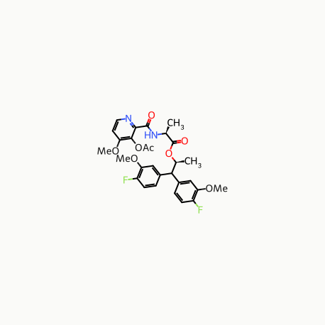 COc1cc(C(c2ccc(F)c(OC)c2)[C@H](C)OC(=O)[C@H](C)NC(=O)c2nccc(OC)c2OC(C)=O)ccc1F